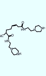 N#CC(CC/C=C\CC(=O)NCCN1CCNCC1)C(=O)NCCN1CCNCC1